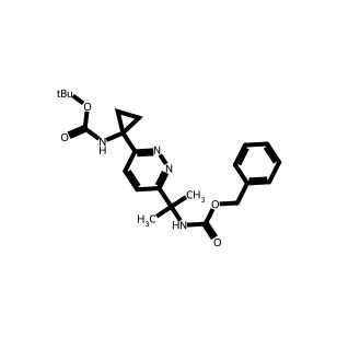 CC(C)(C)OC(=O)NC1(c2ccc(C(C)(C)NC(=O)OCc3ccccc3)nn2)CC1